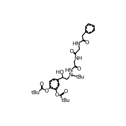 CC(C)(C)C(=O)Oc1ccc(C(O)CN(NC(=O)CNC(=O)CNC(=O)Cc2ccccc2)C(C)(C)C)cc1OC(=O)C(C)(C)C